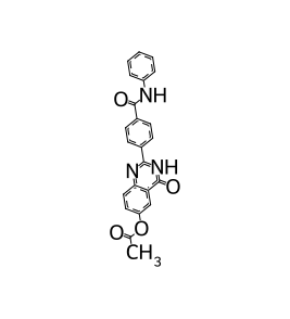 CC(=O)Oc1ccc2nc(-c3ccc(C(=O)Nc4ccccc4)cc3)[nH]c(=O)c2c1